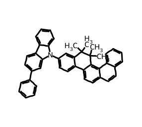 CC1(C)c2cc(-n3c4ccccc4c4ccc(-c5ccccc5)cc43)ccc2-c2ccc3ccc4ccccc4c3c2C1(C)C